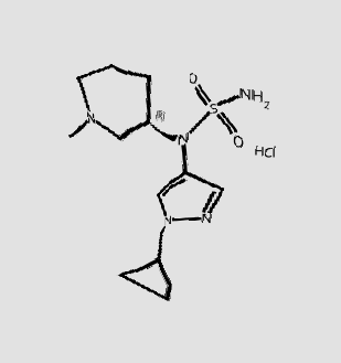 CN1CCC[C@@H](N(c2cnn(C3CC3)c2)S(N)(=O)=O)C1.Cl